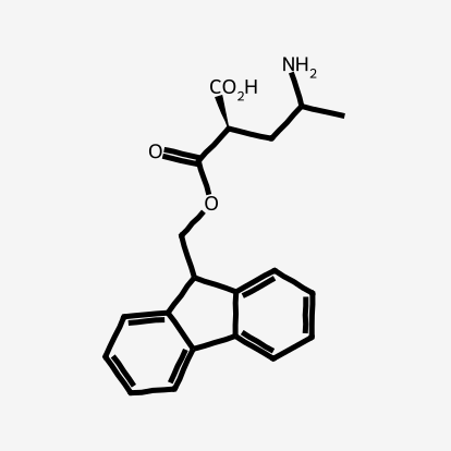 CC(N)C[C@H](C(=O)O)C(=O)OCC1c2ccccc2-c2ccccc21